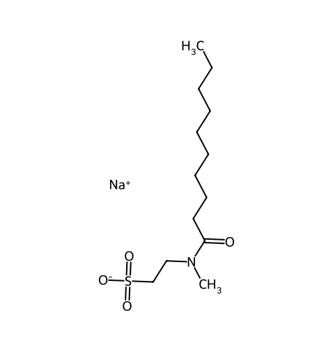 CCCCCCCCCC(=O)N(C)CCS(=O)(=O)[O-].[Na+]